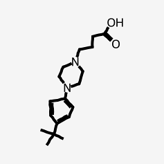 CC(C)(C)c1ccc(N2CCN(CCCC(=O)O)CC2)cc1